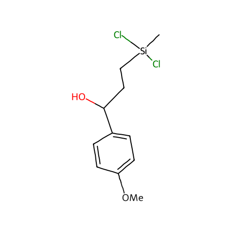 COc1ccc(C(O)CC[Si](C)(Cl)Cl)cc1